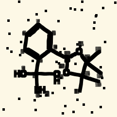 BC(O)(O)c1ccccc1B1OC(C)(C)C(C)(C)O1